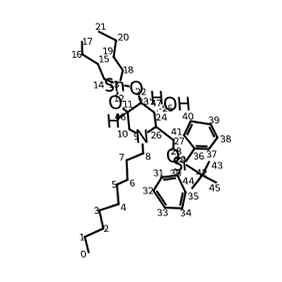 CCCCCCCCCN1C[C@@H]2[O][Sn]([CH2]CCC)([CH2]CCC)[O][C@H]2[C@H](O)C1CO[Si](c1ccccc1)(c1ccccc1)C(C)(C)C